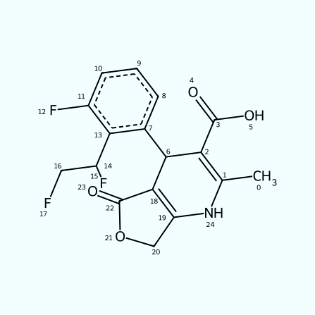 CC1=C(C(=O)O)C(c2cccc(F)c2C(F)CF)C2=C(COC2=O)N1